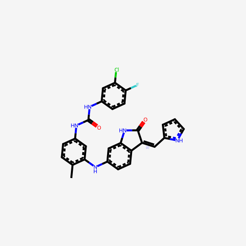 Cc1ccc(NC(=O)Nc2ccc(F)c(Cl)c2)cc1Nc1ccc2c(c1)NC(=O)/C2=C\c1ccc[nH]1